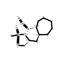 CC[C@@H](C[C@@H]1CCCCC[C@H]1N=[N+]=[N-])OS(C)(=O)=O